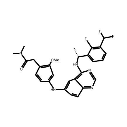 COc1cc(Nc2ccc3ncnc(N[C@H](C)c4cccc(C(F)F)c4F)c3c2)ccc1CC(=O)N(C)C